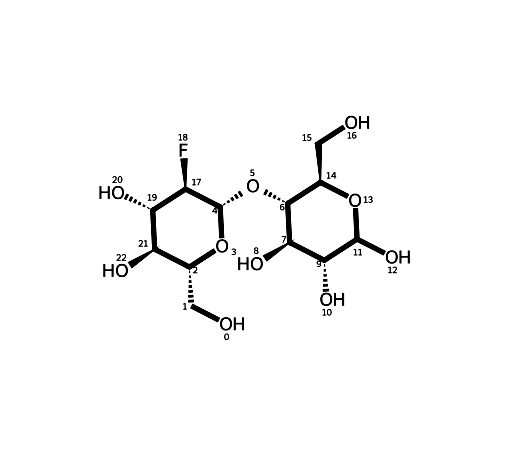 OC[C@H]1O[C@@H](O[C@H]2[C@H](O)[C@@H](O)C(O)O[C@@H]2CO)[C@H](F)[C@@H](O)[C@@H]1O